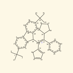 CC(C)(C)c1ccc2c(c1)[CH](/[Hf]([C]1=CC=CC1)=[C](/c1ccccc1)C1CCCC1)c1cc(C(C)(C)C)ccc1-2